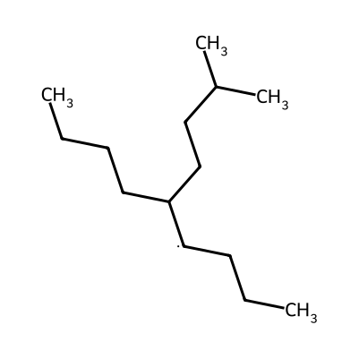 CCC[CH]C(CCCC)CCC(C)C